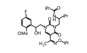 COc1ccc(F)cc1C(O)Cn1cc(/C(C)=N\OC(C)C)c(=O)n(CC(NC(=O)C(C)C)C(C)C)c1=O